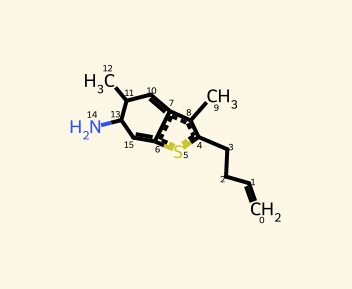 C=CCCc1sc2c(c1C)=CC(C)C(N)C=2